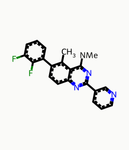 CNc1nc(-c2cccnc2)nc2ccc(-c3cccc(F)c3F)c(C)c12